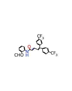 O=Cc1ccccc1NC(=O)/C=C/C=C(c1ccc(C(F)(F)F)cc1)c1ccc(C(F)(F)F)cc1